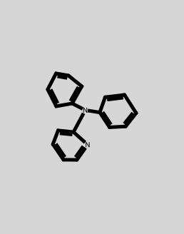 c1ccc(N(c2ccccc2)c2ccccn2)cc1